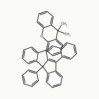 CC1(C)c2ccccc2Oc2c(-c3ccccc3C3(c4ccccc4)c4ccccc4-c4c3ccc3ccccc43)cccc21